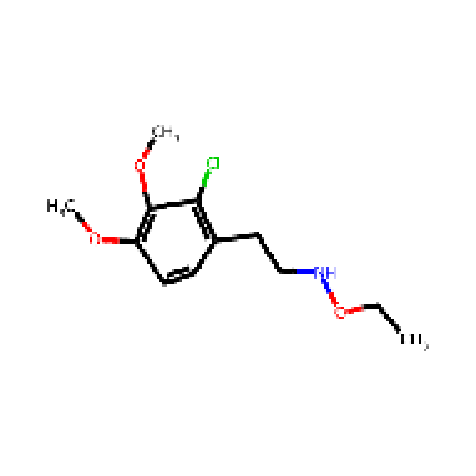 CCONCCc1ccc(OC)c(OC)c1Cl